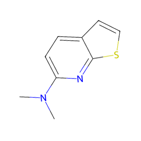 CN(C)c1ccc2ccsc2n1